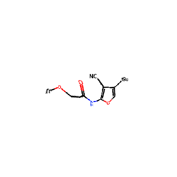 CCOCC(=O)Nc1occ(C(C)(C)C)c1C#N